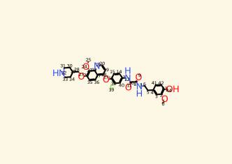 COc1cc(CCNC(=O)C(=O)Nc2ccc(Oc3ccnc4c(OC)c(OCC5CCNCC5)ccc34)c(F)c2)ccc1O